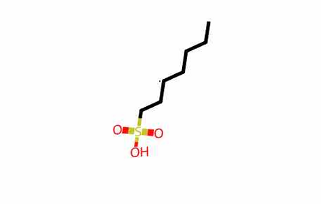 CCCC[CH]CCS(=O)(=O)O